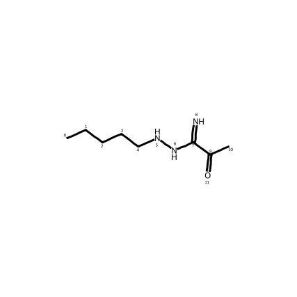 CCCCCNNC(=N)C(C)=O